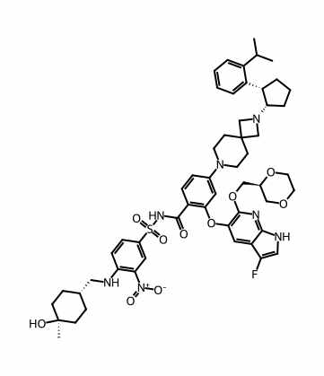 CC(C)c1ccccc1[C@@H]1CCC[C@@H]1N1CC2(CCN(c3ccc(C(=O)NS(=O)(=O)c4ccc(NC[C@H]5CC[C@](C)(O)CC5)c([N+](=O)[O-])c4)c(Oc4cc5c(F)c[nH]c5nc4OC[C@@H]4COCCO4)c3)CC2)C1